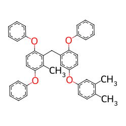 Cc1ccc(Oc2ccc(Oc3ccccc3)c(Cc3c(Oc4ccccc4)ccc(Oc4ccccc4)c3C)c2)cc1C